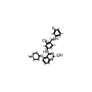 CN1CCC(Oc2cccc3ncnc(Nc4ccc(CNc5cccc(F)c5)c(Cl)c4)c23)CC1.Cl